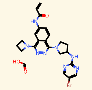 C=CC(=O)Nc1ccc2c(N3CCC(Nc4ncc(Br)cn4)C3)nnc(N3CCC3)c2c1.O=CO